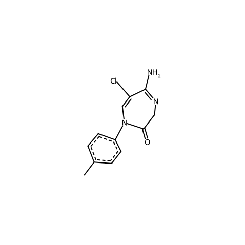 Cc1ccc(N2C=C(Cl)C(N)=NCC2=O)cc1